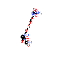 NC(=O)c1c([N+](=O)[O-])cnn1CCOCCOCCOCCOCCNc1cccc2c1C(=O)N(C1CCC(=O)NC1=O)C2=O